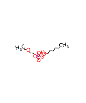 CCCCCCOOP(=O)(O)OCCOCC